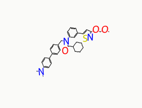 COCOc1cc(-c2cccc(N(Cc3ccc(-c4ccc(N(C)C)cc4)cc3)C(=O)C3CCCCC3)c2)sn1